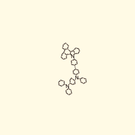 c1ccc(N(c2ccccc2)c2ccc(N(c3ccccc3)c3ccc(-c4ccc(-n5c6ccccc6c6c7ccccc7c7ccccc7c65)cc4)cc3)cc2)cc1